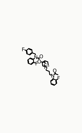 CC(=O)N(CCC[N+]12CCC(CC1)C(OC(=O)N(Cc1ccc(F)cc1)c1ccccc1F)C2)c1ccccc1F